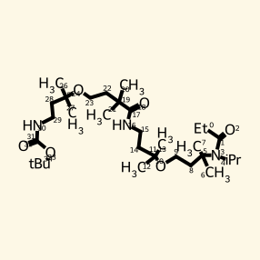 CCC(=O)N(C(C)C)C(C)(C)CCOC(C)(C)CCNC(=O)C(C)(C)CCOC(C)(C)CCNC(=O)OC(C)(C)C